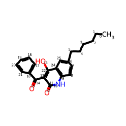 CCCCCCc1ccc2[nH]c(=O)c(C(=O)c3ccccc3)c(O)c2c1